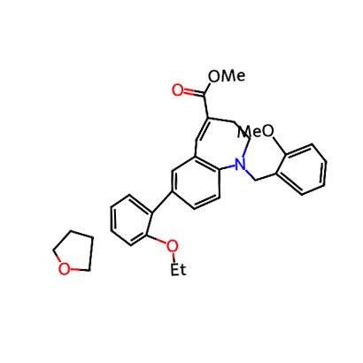 C1CCOC1.CCOc1ccccc1-c1ccc2c(c1)C=C(C(=O)OC)CCN2Cc1ccccc1OC